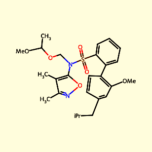 COc1cc(CC(C)C)ccc1-c1ccccc1S(=O)(=O)N(COC(C)OC)c1onc(C)c1C